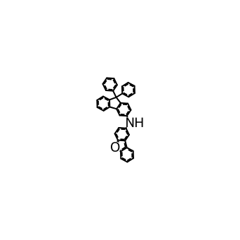 c1ccc(C2(c3ccccc3)c3ccccc3-c3cc(Nc4ccc5oc6ccccc6c5c4)ccc32)cc1